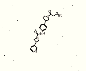 CCOCC(=O)N1CCC(c2ccc(NC(=O)N3CC(c4cccnc4)C3)cc2)C1